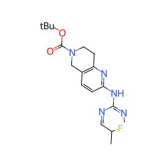 C/N=C(\N=C/C(C)F)Nc1ccc2c(n1)CCN(C(=O)OC(C)(C)C)C2